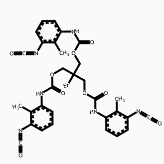 CCC(COC(=O)Nc1cccc(N=C=O)c1C)(COC(=O)Nc1cccc(N=C=O)c1C)COC(=O)Nc1cccc(N=C=O)c1C